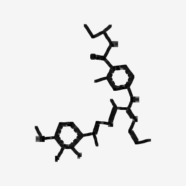 C\C=C/N=C(Nc1ccc(C(=O)NC(C)CC)c(C)c1)\C(C)=N\C=C(/C)c1ccc(NC)c(F)c1F